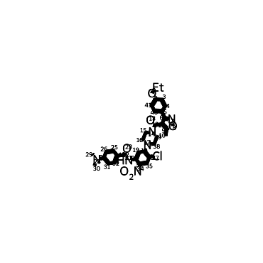 CCOc1ccc(-c2noc(C)c2C(=O)N2CCN(c3cc(NC(=O)c4ccc(N(C)C)cc4)c([N+](=O)[O-])cc3Cl)CC2)cc1